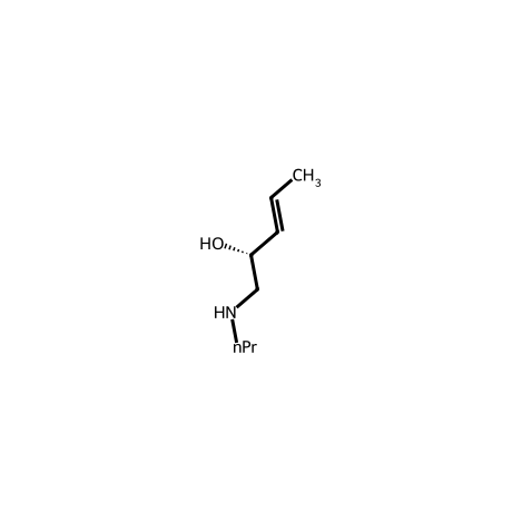 CC=C[C@@H](O)CNCCC